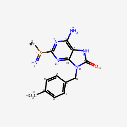 CCCS(=N)c1nc(N)c2[nH]c(=O)n(Cc3ccc(C(=O)O)cc3)c2n1